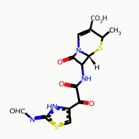 CC1S[C@@H]2C(NC(=O)C(=O)c3csc(=NC=O)[nH]3)C(=O)N2C=C1C(=O)O